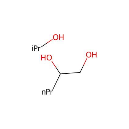 CC(C)O.CCCC(O)CO